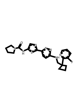 O=C(Nc1cnc(-c2ccc(NCC3(c4ncccc4F)CCC3)nn2)s1)N1CCCC1